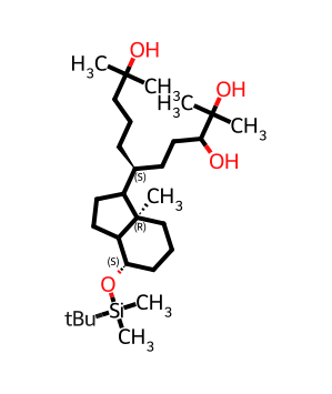 CC(C)(O)CCC[C@@H](CCC(O)C(C)(C)O)C1CCC2[C@@H](O[Si](C)(C)C(C)(C)C)CCC[C@]12C